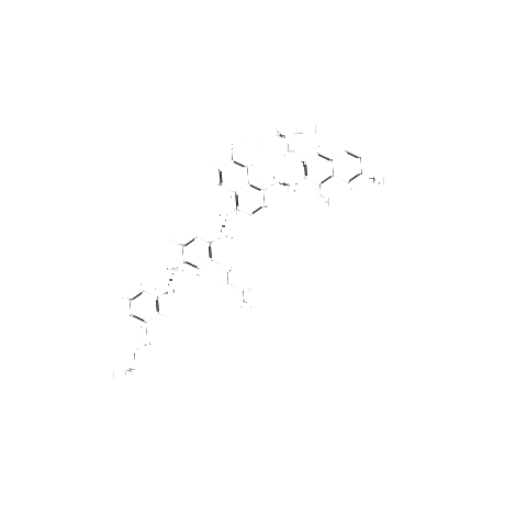 Cc1cc(N=Nc2ccc(N=Nc3c(OS(=O)O)cc4ccc(N)cc4c3O)c3cc(S(=O)(=O)O)ccc23)c(OCCC(=O)O)cc1N=Nc1cccc(SOOO)c1